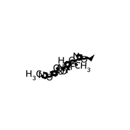 CC[C@@H](Oc1ccc(C(=O)NS(=O)(=O)c2ccc(OC3CCN(C)CC3)cc2)c(F)c1F)c1cc(OCC2CC2)ccn1